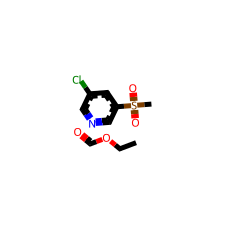 CCOC=O.CS(=O)(=O)c1cncc(Cl)c1